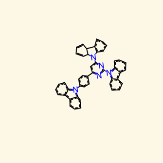 C1=CC2c3ccccc3N(c3cc(-c4ccc(-n5c6ccccc6c6ccccc65)cc4)nc(-n4c5ccccc5c5ccccc54)n3)C2C=C1